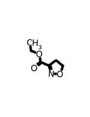 CCOC(=O)C1=NOCC1